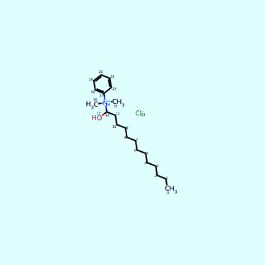 CCCCCCCCCCCCC(O)[N+](C)(C)c1ccccc1.[Cl-]